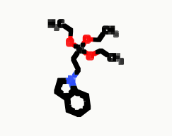 CCO[Si](CCn1ccc2ccccc21)(OCC)OCC